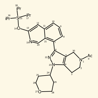 CC(=O)N1CCc2c(c(-c3cccc4cc(O[Si](C(C)C)(C(C)C)C(C)C)ncc34)nn2C2CCOCC2)C1